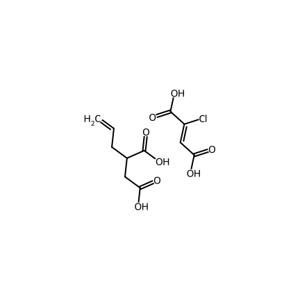 C=CCC(CC(=O)O)C(=O)O.O=C(O)C=C(Cl)C(=O)O